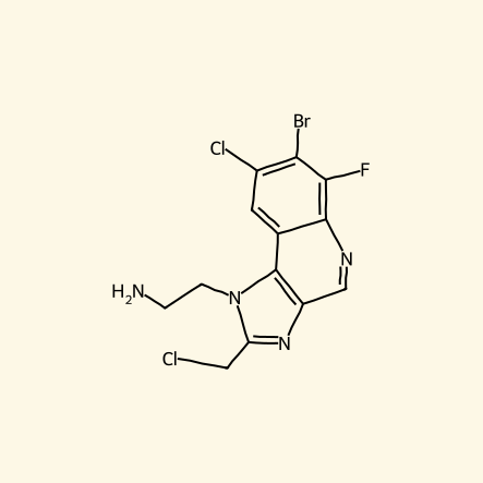 NCCn1c(CCl)nc2cnc3c(F)c(Br)c(Cl)cc3c21